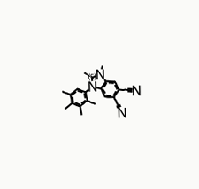 Cc1cc(N2c3cc(C#N)c(C#N)cc3N(C)[C@@H]2C)c(C)c(C)c1C